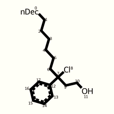 CCCCCCCCCCCCCCCCC(Cl)(CCO)c1ccccc1